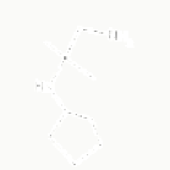 CC(C)(CN)NC1CCCC1